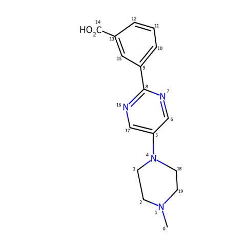 CN1CCN(c2cnc(-c3cccc(C(=O)O)c3)nc2)CC1